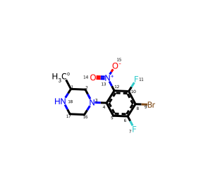 CC1CN(c2cc(F)c(Br)c(F)c2[N+](=O)[O-])CCN1